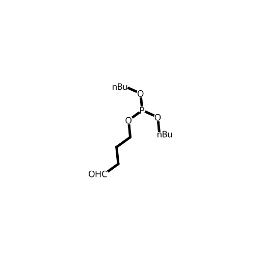 CCCCOP(OCCCC)OCCCC=O